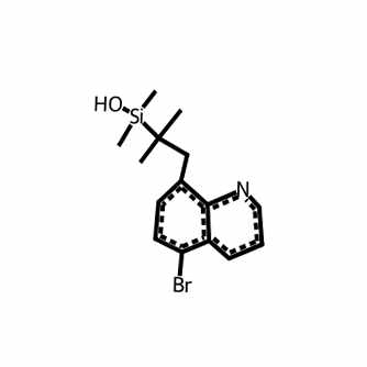 CC(C)(Cc1ccc(Br)c2cccnc12)[Si](C)(C)O